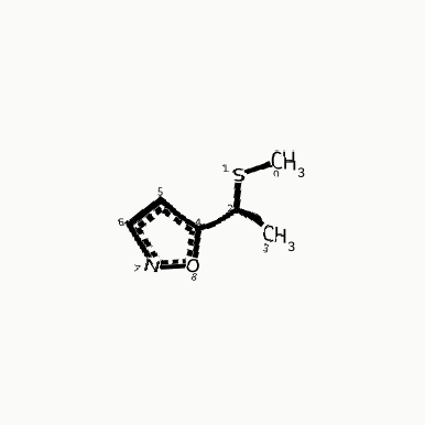 CSC(C)c1ccno1